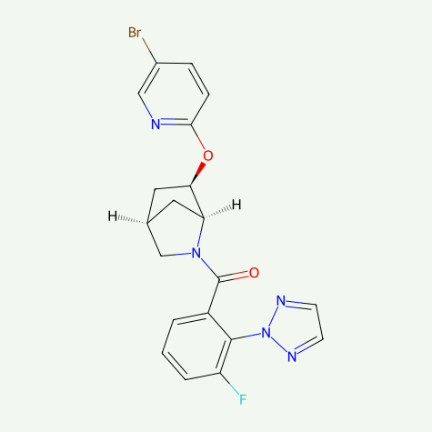 O=C(c1cccc(F)c1-n1nccn1)N1C[C@H]2C[C@@H](Oc3ccc(Br)cn3)[C@@H]1C2